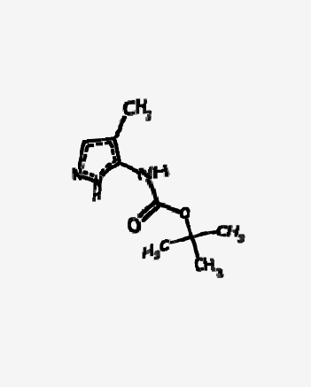 Cc1cn[nH]c1NC(=O)OC(C)(C)C